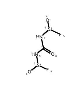 O=C(N[S+]([O-])F)N[S+]([O-])F